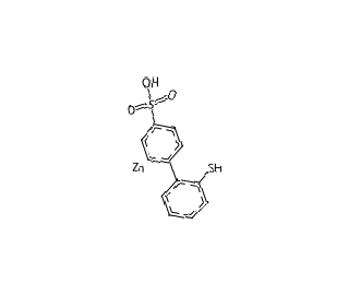 O=S(=O)(O)c1ccc(-c2ccccc2S)cc1.[Zn]